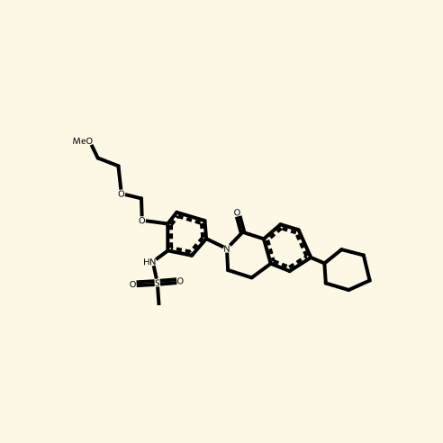 COCCOCOc1ccc(N2CCc3cc(C4CCCCC4)ccc3C2=O)cc1NS(C)(=O)=O